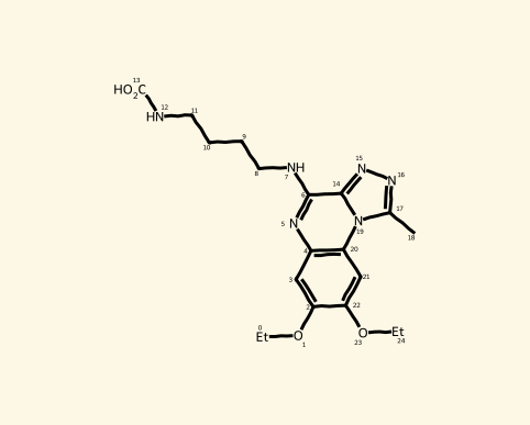 CCOc1cc2nc(NCCCCNC(=O)O)c3nnc(C)n3c2cc1OCC